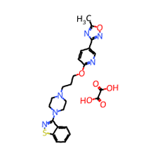 Cc1nc(-c2ccc(OCCCN3CCN(c4nsc5ccccc45)CC3)nc2)no1.O=C(O)C(=O)O